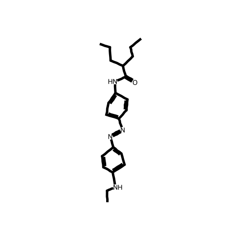 CCCC(CCC)C(=O)Nc1ccc(/N=N/c2ccc(NCC)cc2)cc1